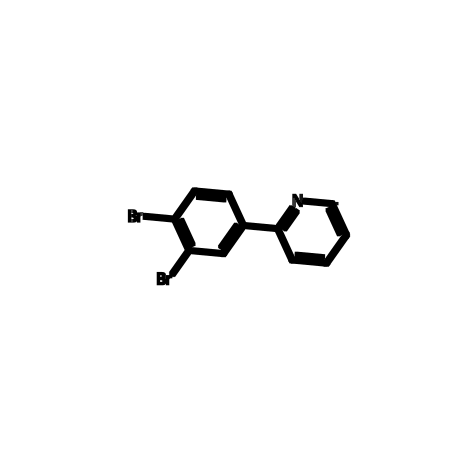 Brc1ccc(-c2ccc[c]n2)cc1Br